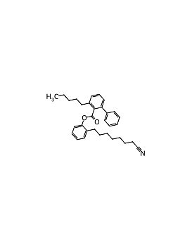 CCCCCc1cccc(-c2ccccc2)c1C(=O)Oc1ccccc1CCCCCCCC#N